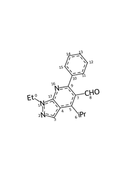 CCn1ncc2c(C(C)C)c(C=O)c(-c3ccccc3)nc21